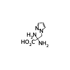 NC(N)(Cn1cccn1)C(=O)O